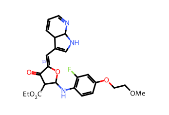 CCOC(=O)C1C(=O)/C(=C/C2=CNC3N=CC=CC23)OC1Nc1ccc(OCCOC)cc1F